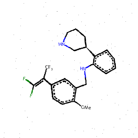 COc1ccc(C(=C(F)F)C(F)(F)F)cc1CNc1ccccc1[C@@H]1CCCNC1